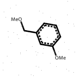 [CH2]OCc1cccc(OC)c1